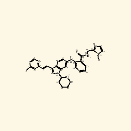 Cc1ccnc(C=Cc2nn(C3CCCCO3)c3cc(Nc4ccccc4C(=O)NCc4nccn4C)ccc23)c1